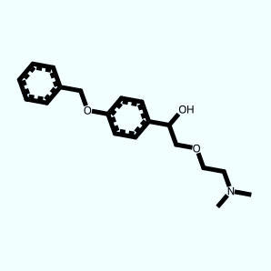 CN(C)CCOCC(O)c1ccc(OCc2ccccc2)cc1